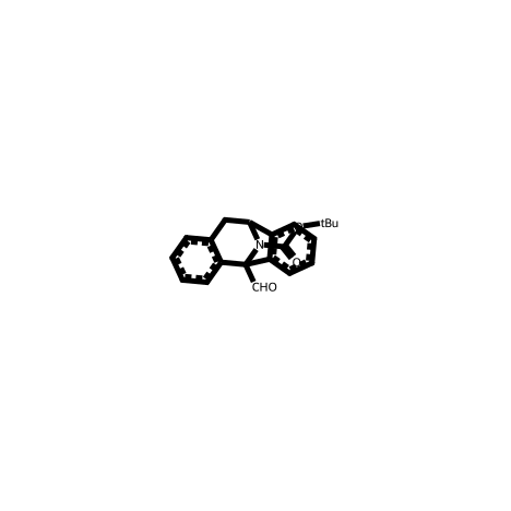 CC(C)(C)OC(=O)N1C2Cc3ccccc3C1(C=O)c1ccccc12